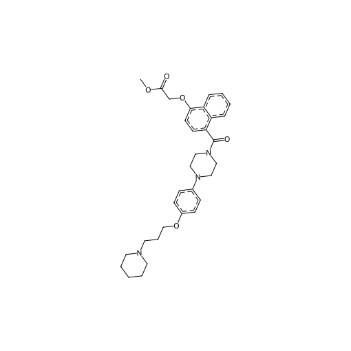 COC(=O)COc1ccc(C(=O)N2CCN(c3ccc(OCCCN4CCCCC4)cc3)CC2)c2ccccc12